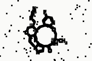 C[C@@H]1COc2ncc(F)cc2CN2c3nc4c(cnn4cc3OC[C@H]2CN=[N+]=[N-])C(=O)N1